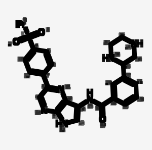 CC(C)S(=O)(=O)c1ccc(-c2cnc3[nH]cc(NC(=O)c4cccc(C5CNCCN5)c4)c3n2)cc1